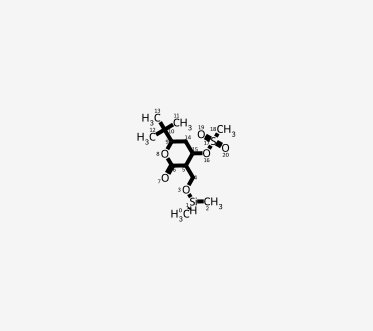 C[SiH](C)OCC1C(=O)OC(C(C)(C)C)CC1OS(C)(=O)=O